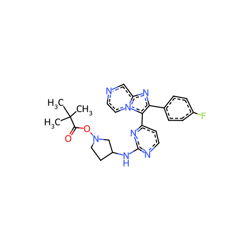 CC(C)(C)C(=O)ON1CCC(Nc2nccc(-c3c(-c4ccc(F)cc4)nc4cnccn34)n2)C1